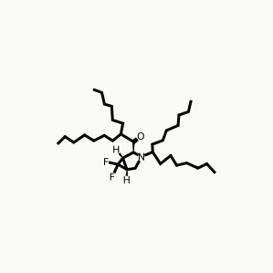 CCCCCCCC(CCCCCC)C(=O)[C@@H]1[C@@H]2[C@H](CN1C(CCCCCCC)CCCCCCC)C2(F)F